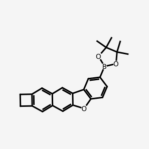 CC1(C)OB(c2ccc3oc4cc5cc6c(cc5cc4c3c2)CC6)OC1(C)C